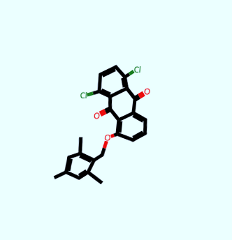 Cc1cc(C)c(COc2cccc3c2C(=O)c2c(Cl)ccc(Cl)c2C3=O)c(C)c1